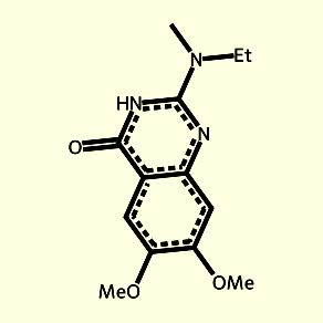 CCN(C)c1nc2cc(OC)c(OC)cc2c(=O)[nH]1